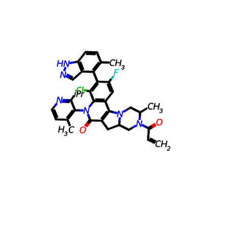 C=CC(=O)N1CC2Cc3c(c4cc(F)c(-c5c(C)ccc6[nH]ncc56)c(Cl)c4n(-c4c(C)ccnc4C(C)C)c3=O)N2CC1C